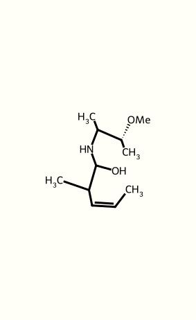 C/C=C\C(C)C(O)NC(C)[C@@H](C)OC